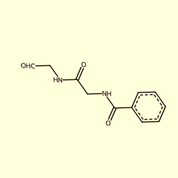 O=[C]CNC(=O)CNC(=O)c1ccccc1